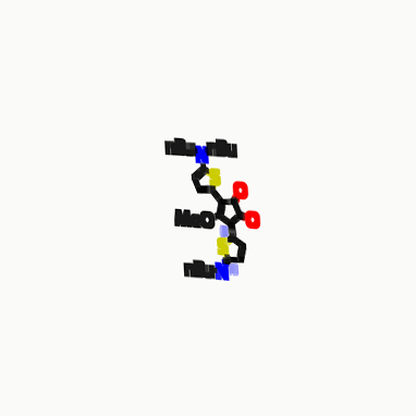 CCCC/N=C1C=C/C(=C2\C(=O)C(=O)C(c3ccc(N(CCCC)CCCC)s3)=C2OC)S/1